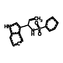 C=CC(NS(=O)(=O)c1ccccc1)c1c[nH]c2ccccc12